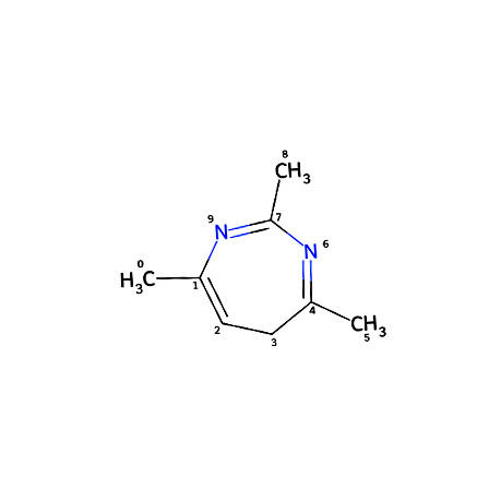 CC1=CCC(C)=NC(C)=N1